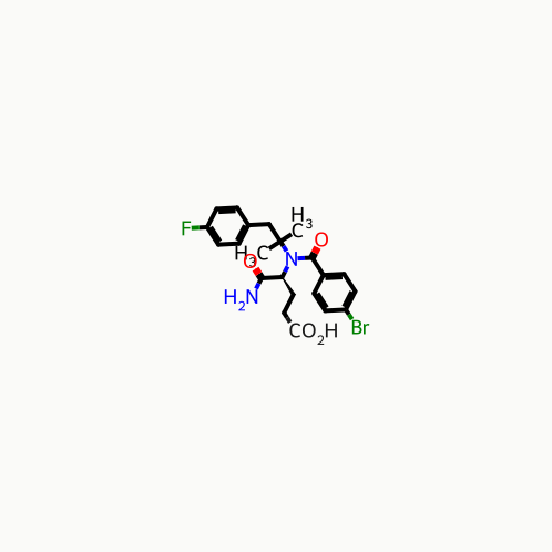 CC(C)(Cc1ccc(F)cc1)N(C(=O)c1ccc(Br)cc1)[C@@H](CCC(=O)O)C(N)=O